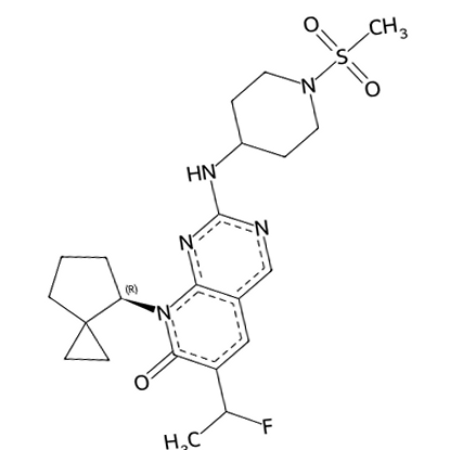 CC(F)c1cc2cnc(NC3CCN(S(C)(=O)=O)CC3)nc2n([C@@H]2CCCC23CC3)c1=O